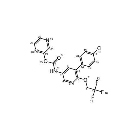 O=C(Nc1cnc(OCC(F)(F)F)c(-c2ccc(Cl)cc2)c1)Oc1cnccn1